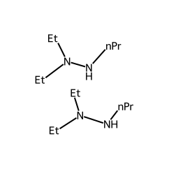 CCCNN(CC)CC.CCCNN(CC)CC